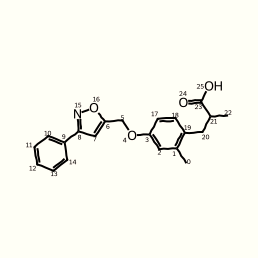 Cc1cc(OCc2cc(-c3ccccc3)no2)ccc1CC(C)C(=O)O